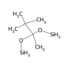 CC(C)(C)C(C)(O[SiH3])O[SiH3]